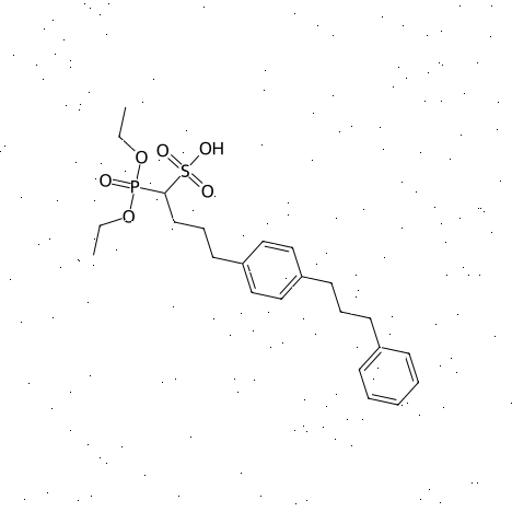 CCOP(=O)(OCC)C(CCCc1ccc(CCCc2ccccc2)cc1)S(=O)(=O)O